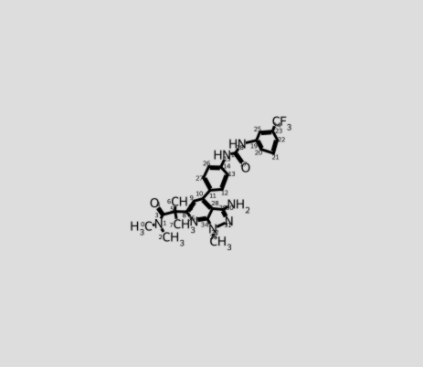 CN(C)C(=O)C(C)(C)c1cc(-c2ccc(NC(=O)Nc3cccc(C(F)(F)F)c3)cc2)c2c(N)nn(C)c2n1